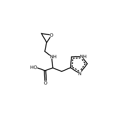 O=C(O)C(Cc1c[nH]cn1)NCC1CO1